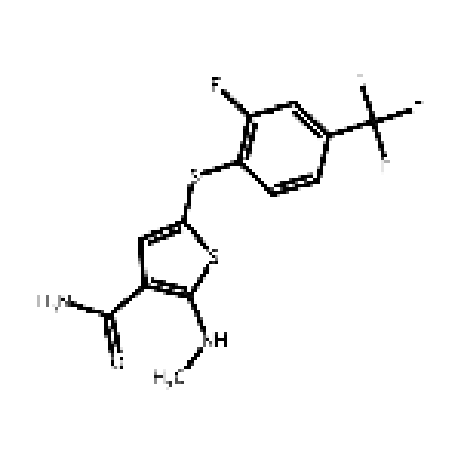 CNc1sc(Sc2ccc(C(F)(F)F)cc2F)cc1C(N)=O